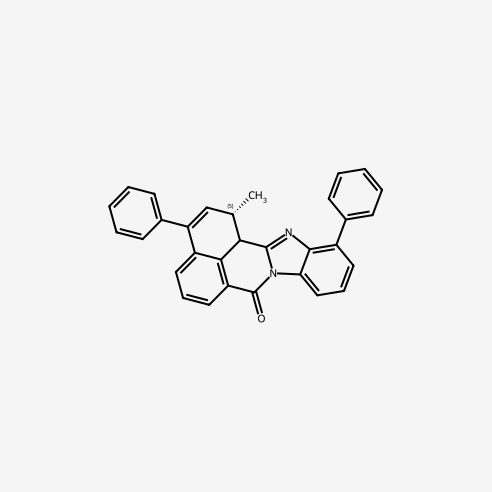 C[C@H]1C=C(c2ccccc2)c2cccc3c2C1c1nc2c(-c4ccccc4)cccc2n1C3=O